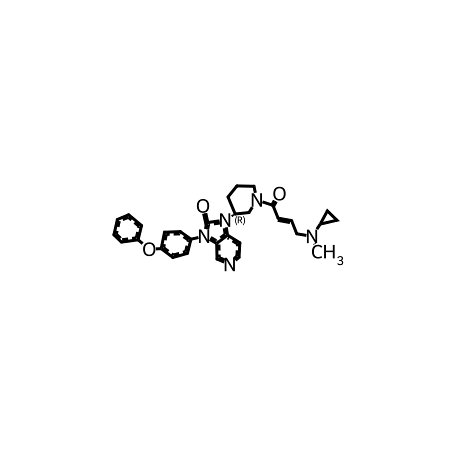 CN(CC=CC(=O)N1CCC[C@@H](n2c(=O)n(-c3ccc(Oc4ccccc4)cc3)c3cnccc32)C1)C1CC1